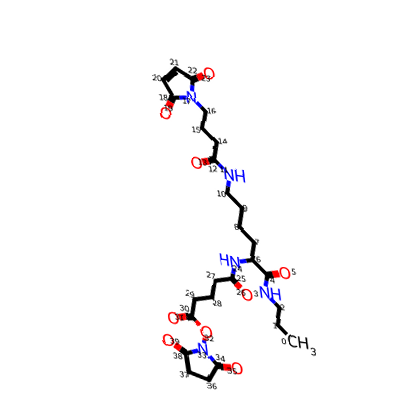 CCCNC(=O)C(CCCCNC(=O)CCCN1C(=O)C=CC1=O)NC(=O)CCCC(=O)ON1C(=O)CCC1=O